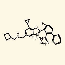 Cn1cnnc1-c1c(-c2ccccc2)ccc(F)c1-c1nc2cc(CNCC3CCC3)cc(C3CC3)c2o1